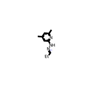 CC/C=N/Nc1cc(C)cc(C)n1